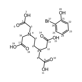 O=C(O)CN(CCN(CC(=O)O)CC(=O)O)CC(=O)O.Oc1ccccc1Br